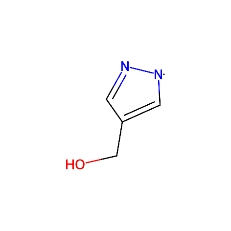 OCC1=C[N]N=C1